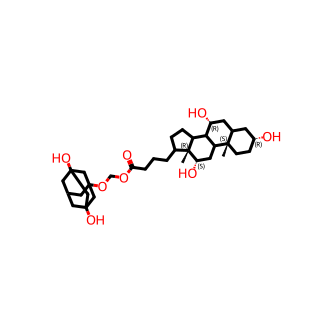 C[C@]12CC[C@@H](O)CC1C[C@@H](O)C1C2C[C@H](O)[C@]2(C)C(CCCC(=O)OCOC34CC5CC(O)(CC(O)(C5)C3)C4)CCC12